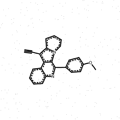 C#Cc1c2c3ccccc3nc(-c3ccc(OC)cc3)c2n2ccccc12